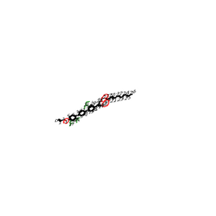 C=CCOc1ccc(-c2ccc(-c3ccc(C4COC(CCCCCCC)OC4)cc3F)cc2)c(F)c1F